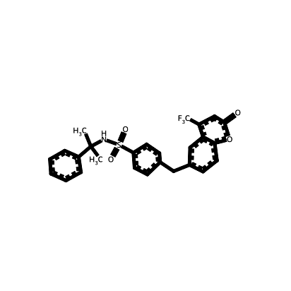 CC(C)(NS(=O)(=O)c1ccc(Cc2ccc3oc(=O)cc(C(F)(F)F)c3c2)cc1)c1ccccc1